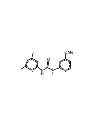 COc1ccnc(NC(=O)Nc2cc(C)cc(C)n2)c1